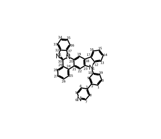 c1cc(-c2ccncc2)cc(-n2c3ccccc3c3cc4c(cc32)c2ccccc2c2nc3ccccc3n42)c1